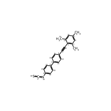 Cc1cc(C)c(C#Cc2ccc(-c3ccc(N=C=S)cc3)cc2)c(C)c1